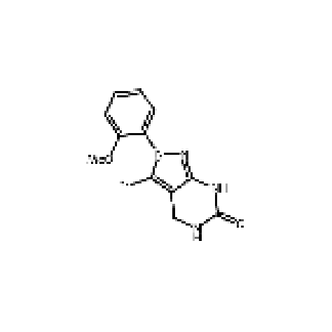 COc1ccccc1-n1nc2c(c1C(C)C)CNC(=O)N2